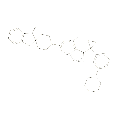 N[C@@H]1c2ccccc2CC12CCN(c1nc3[nH]nc(C4(c5ccnc(N6CCOCC6)c5)CC4)c3c(=O)[nH]1)CC2